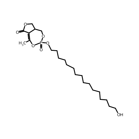 CC1=C2C(=O)OCC2COP(=O)(OCCCCCCCCCCCCCCCCO)O1